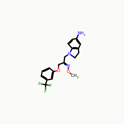 CON=C(COc1cccc(C(F)(F)F)c1)CN1CCc2cc(N)ccc21